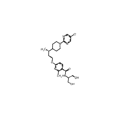 Cc1nc(OCC[C@@H](C)C2CCN(c3ncc(Cl)cn3)CC2)ccc1C(=O)NC(CO)CO